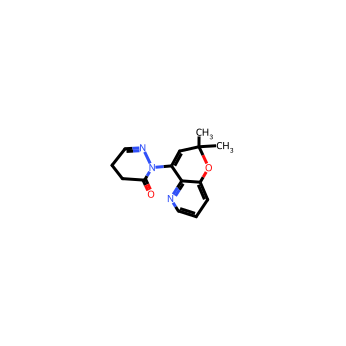 CC1(C)C=C(N2N=CCCC2=O)c2ncccc2O1